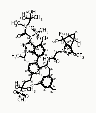 CN(CC(C)(C)O)C(=O)N(c1nn(CC(F)(F)F)c2c(-c3ccc(CCC(C)(C)S(C)(=O)=O)nc3[C@H](Cc3cc(F)cc(F)c3)NC(=O)Cn3nc(C(F)(F)F)c4c3C(F)(F)C3C[C@H]43)ccc(Cl)c12)S(C)(=O)=O